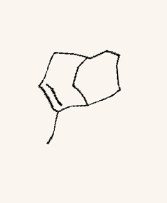 CC1=CCC2CCC1C2